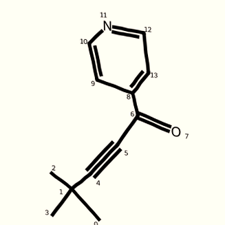 CC(C)(C)C#CC(=O)c1ccncc1